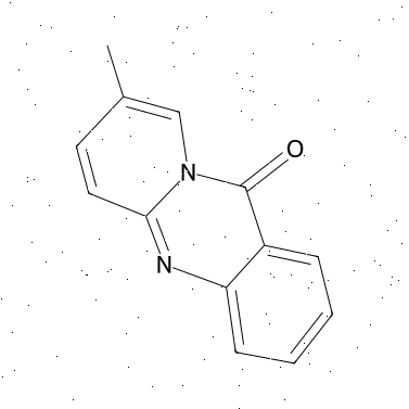 Cc1ccc2nc3ccccc3c(=O)n2c1